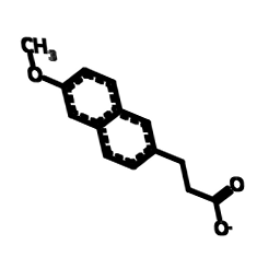 COc1ccc2cc(CCC([O])=O)ccc2c1